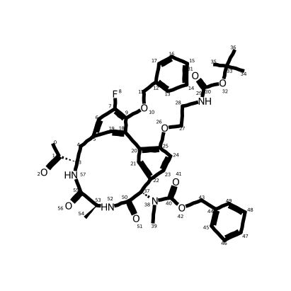 CC(=O)[C@@H]1Cc2cc(F)c(OCc3ccccc3)c(c2)-c2cc(ccc2OCCNC(=O)OC(C)(C)C)[C@H](N(C)C(=O)OCc2ccccc2)C(=O)N[C@@H](C)C(=O)N1